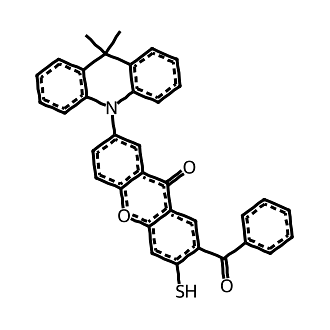 CC1(C)c2ccccc2N(c2ccc3oc4cc(S)c(C(=O)c5ccccc5)cc4c(=O)c3c2)c2ccccc21